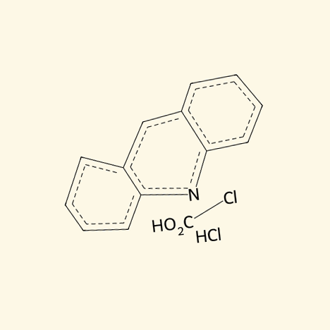 Cl.O=C(O)Cl.c1ccc2nc3ccccc3cc2c1